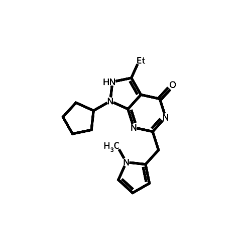 CCc1[nH]n(C2CCCC2)c2nc(Cc3cccn3C)nc(=O)c1-2